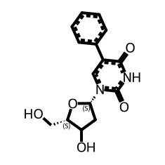 O=c1[nH]c(=O)n([C@@H]2CC(O)[C@H](CO)O2)cc1-c1ccccc1